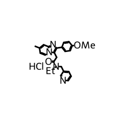 CCN(Cc1cccnc1)C(=O)Cc1c(-c2ccc(OC)cc2)nc2cc(C)ccn12.Cl